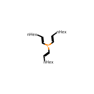 CCCCCCC=CP(C=CCCCCCC)C=CCCCCCC